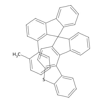 Cc1ccccc1-c1cccc2c1C1(c3ccccc3-2)c2ccccc2-c2c1ccc1sc3ccccc3c21